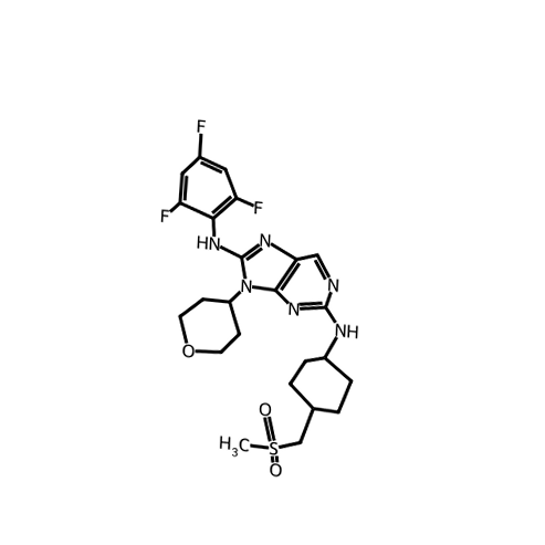 CS(=O)(=O)CC1CCC(Nc2ncc3nc(Nc4c(F)cc(F)cc4F)n(C4CCOCC4)c3n2)CC1